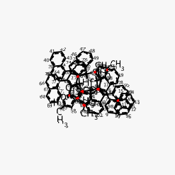 Cc1ccc(C2=C(c3cccc4ccccc34)c3ccccc3[C]23[SiH](C)[C]2(C(c4ccc(C)o4)=C(c4cccc5ccccc45)c4ccccc42)[Hf]32([Cl])([Cl])[C]3(C(c4ccc(C)o4)=C(c4cccc5ccccc45)c4ccccc43)[SiH](C)[C]23C(c2ccc(C)o2)=C(c2cccc4ccccc24)c2ccccc23)o1